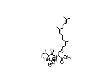 CC[C@H](C)[C@H](NS(C)(=O)=O)C(=O)N[C@@H](CSCC=C(C)CCC=C(C)CCC=C(C)C)C(=O)O